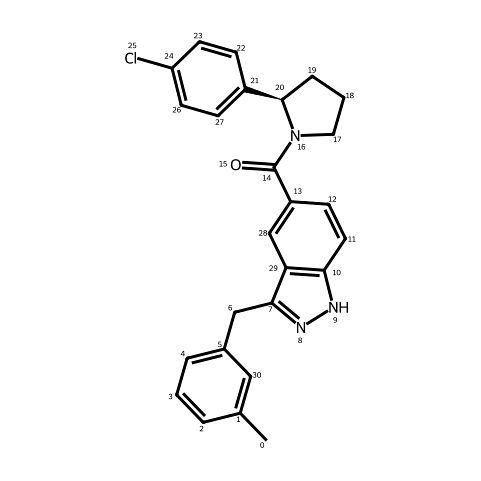 Cc1cccc(Cc2n[nH]c3ccc(C(=O)N4CCC[C@@H]4c4ccc(Cl)cc4)cc23)c1